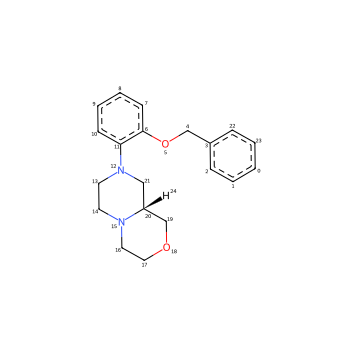 c1ccc(COc2ccccc2N2CCN3CCOC[C@H]3C2)cc1